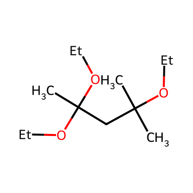 CCOC(C)(C)CC(C)(OCC)OCC